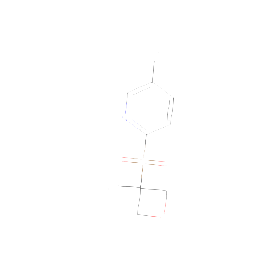 Cc1ccc(S(=O)(=O)C2(C)COC2)nc1